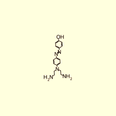 NCCN(CCN)c1ccc(/N=N/c2ccc(O)cc2)cc1